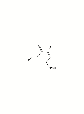 CCCCCCC=C(CC)C(=O)OCF